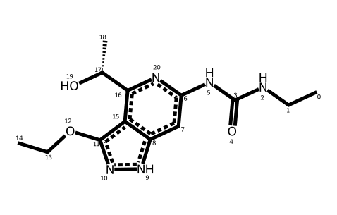 CCNC(=O)Nc1cc2[nH]nc(OCC)c2c([C@@H](C)O)n1